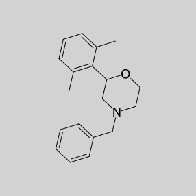 Cc1cccc(C)c1C1CN(Cc2ccccc2)CCO1